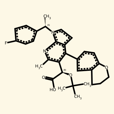 Cc1nc2c(ccn2[C@@H](C)c2ccc(F)cc2)c(-c2ccc3c(c2)CCCO3)c1[C@@H](OC(C)(C)C)C(=O)O